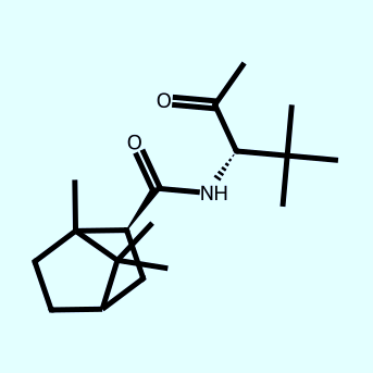 CC(=O)[C@@H](NC(=O)[C@H]1CC2CCC1(C)C2(C)C)C(C)(C)C